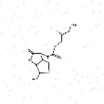 CC(=O)OC1C2CC3C1OC(=O)C3C2C(=O)OCC(F)CS(=O)(=O)O